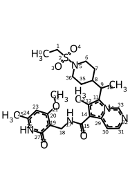 CCS(=O)(=O)N1CCC(C(C)c2c(C)c(C(=O)NCc3c(OC)cc(C)[nH]c3=O)c3ccncn23)CC1